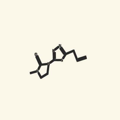 C=CCc1nnc(N2CCN(C)C2=O)s1